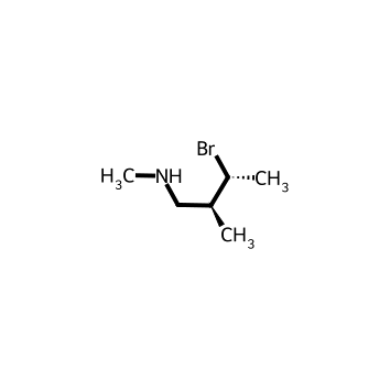 CNC[C@H](C)[C@@H](C)Br